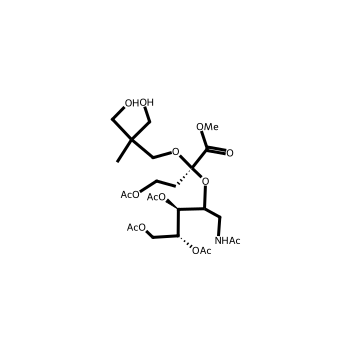 COC(=O)[C@](CCOC(C)=O)(OCC(C)(CO)CO)OC(CNC(C)=O)[C@H](OC(C)=O)[C@@H](COC(C)=O)OC(C)=O